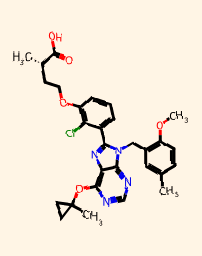 COc1ccc(C)cc1Cn1c(-c2cccc(OCC[C@H](C)C(=O)O)c2Cl)nc2c(OC3(C)CC3)ncnc21